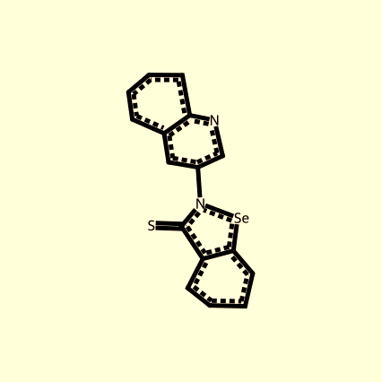 S=c1c2ccccc2[se]n1-c1cnc2ccccc2c1